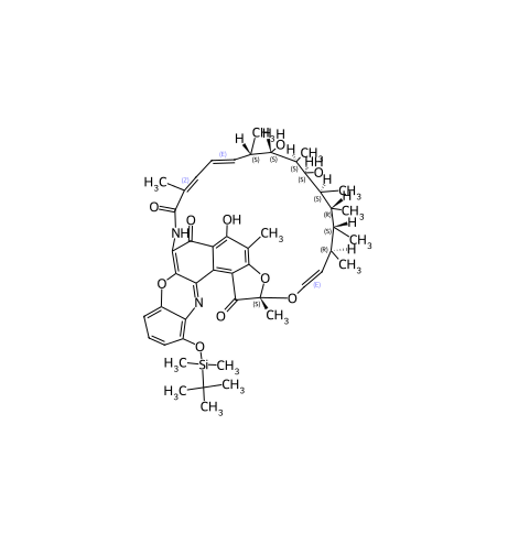 C/C1=C/C=C/[C@H](C)[C@H](O)[C@@H](C)[C@@H](O)[C@@H](C)[C@H](C)[C@H](C)[C@@H](C)/C=C/O[C@@]2(C)Oc3c(C)c(O)c4c(=O)c(c5oc6cccc(O[Si](C)(C)C(C)(C)C)c6nc-5c4c3C2=O)NC1=O